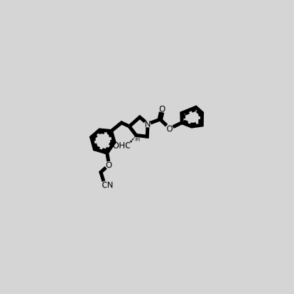 N#CCOc1cccc(CC2CN(C(=O)Oc3ccccc3)C[C@@H]2C=O)c1